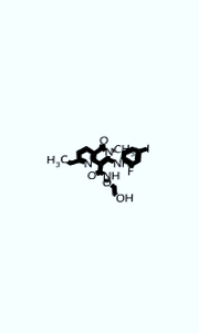 CCc1ccc2c(=O)n(C)c(Nc3ccc(I)cc3F)c(C(=O)NOCCO)c2n1